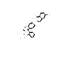 CCC1(C2(c3ccccc3N(C)C)N=CNN2C)C=C(Cc2cc3cc(N)ccc3c(N)n2)C(F)=CC1